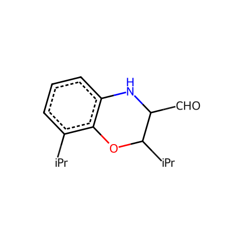 CC(C)c1cccc2c1OC(C(C)C)C(C=O)N2